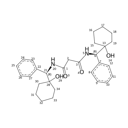 O=C(CC(=O)N[C@H](c1ccccc1)C1(O)CCCCC1)N[C@H](c1ccccc1)C1(O)CCCCC1